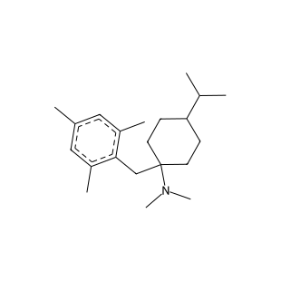 Cc1cc(C)c(CC2(N(C)C)CCC(C(C)C)CC2)c(C)c1